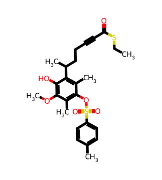 CCSC(=O)C#CCCC(C)c1c(C)c(OS(=O)(=O)c2ccc(C)cc2)c(C)c(OC)c1O